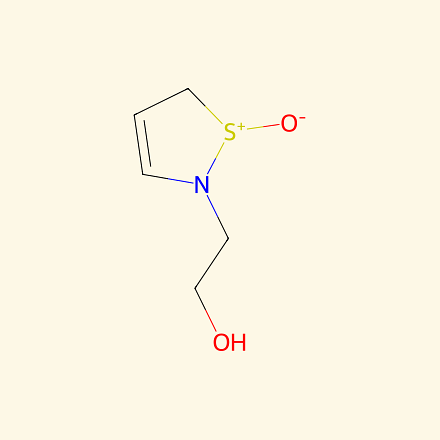 [O-][S+]1CC=CN1CCO